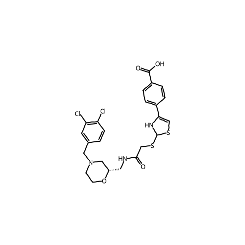 O=C(CSC1NC(c2ccc(C(=O)O)cc2)=CS1)NC[C@H]1CN(Cc2ccc(Cl)c(Cl)c2)CCO1